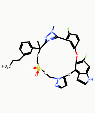 Cn1nc2nc1-c1cc(ccc1F)Oc1c(F)cc3[nH]ccc3c1Cc1ccnn1CCS(=O)(=O)CCC2(C)c1cccc(CCC(=O)O)c1